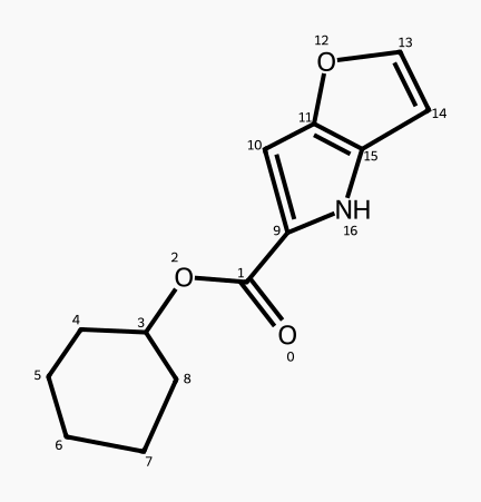 O=C(OC1CCCCC1)c1cc2occc2[nH]1